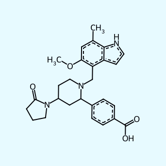 COc1cc(C)c2[nH]ccc2c1CN1CCC(N2CCCC2=O)CC1c1ccc(C(=O)O)cc1